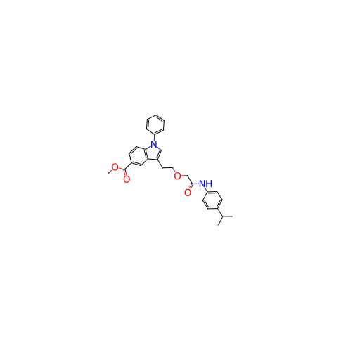 COC(=O)c1ccc2c(c1)c(CCOCC(=O)Nc1ccc(C(C)C)cc1)cn2-c1ccccc1